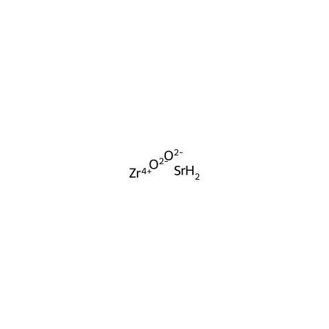 [O-2].[O-2].[SrH2].[Zr+4]